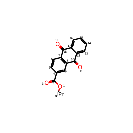 CC(C)OC(=O)c1ccc2c(c1)C(=O)c1ccccc1C2=O